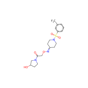 O=C(CON=C1CCN(S(=O)(=O)c2cccc(C(F)(F)F)c2)CC1)N1CCC(O)C1